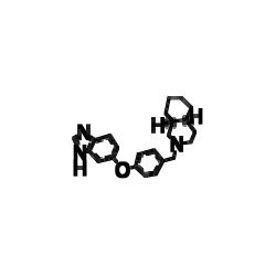 c1nc2ccc(Oc3ccc(CN4CC[C@@H]5CCCC[C@H]5C4)cc3)cc2[nH]1